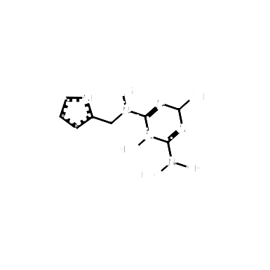 CC1N=C(N(C)C)N(C)C(N(C)Cc2ccc[nH]2)=N1